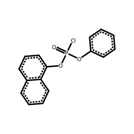 O=P(Cl)(Oc1ccccc1)Oc1cccc2ccccc12